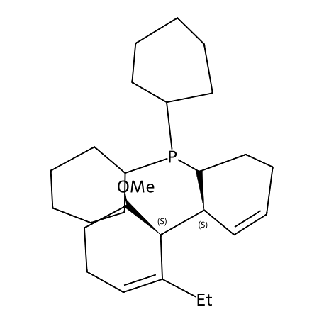 CCC1=CCCC(OC)[C@H]1[C@@H]1C=CCCC1P(C1CCCCC1)C1CCCCC1